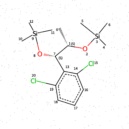 C[C@H](O[Si](C)(C)C)[C@@H](O[Si](C)(C)C)c1c(Cl)cccc1Cl